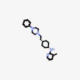 Cc1cccnc1N[C@H]1CC[C@H](CCN2CCN(c3ccccc3)CC2)CC1